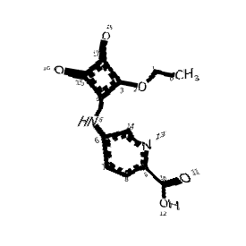 CCOc1c(Nc2ccc(C(=O)O)nc2)c(=O)c1=O